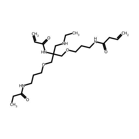 C=CCC(=O)NCCCOCC(CNCC)(COCCCNC(=O)CC)NC(=O)C=C